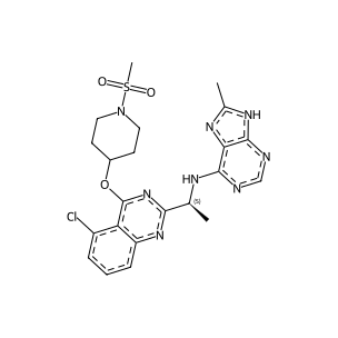 Cc1nc2c(N[C@@H](C)c3nc(OC4CCN(S(C)(=O)=O)CC4)c4c(Cl)cccc4n3)ncnc2[nH]1